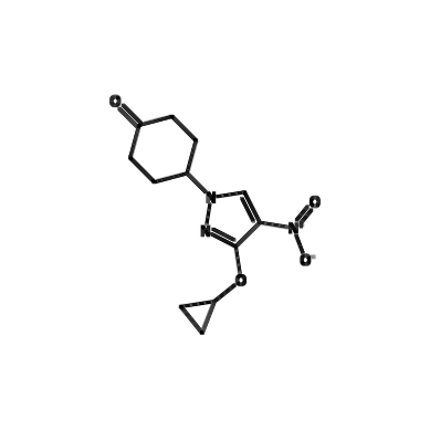 O=C1CCC(n2cc([N+](=O)[O-])c(OC3CC3)n2)CC1